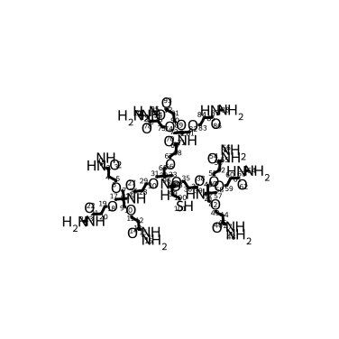 NNC(=O)CCOCC(COCCC(=O)NN)(COCCC(=O)NN)NC(=O)CCOCC(COCCC(=O)NC(COCCC(=O)NN)(COCCC(=O)NN)COCCC(=O)NN)(COCCC(=O)NC(COCCC(=O)NN)(COCCC(=O)NN)OCCC(=O)ON)NC(=O)CCS